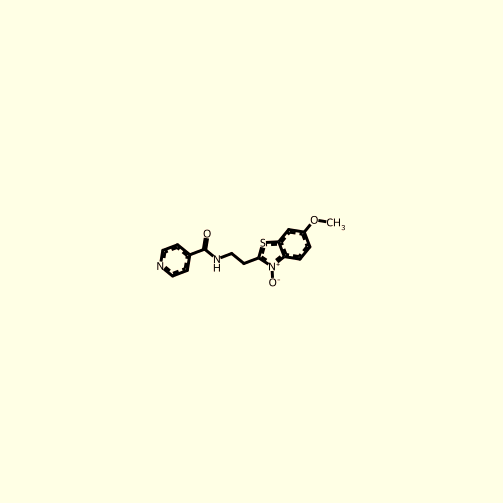 COc1ccc2c(c1)sc(CCNC(=O)c1ccncc1)[n+]2[O-]